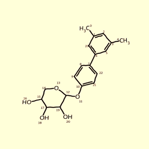 Cc1cc(C)cc(-c2ccc(OC3OCC(O)C(O)C3O)cc2)c1